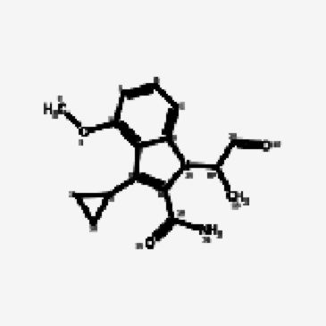 COc1cccc2c1c(C1CC1)c(C(N)=O)n2C(C)C=O